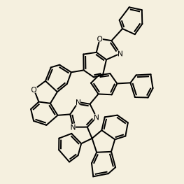 c1ccc(-c2cccc(-c3nc(-c4cccc5oc6ccc(-c7ccc8nc(-c9ccccc9)oc8c7)cc6c45)nc(C4(c5ccccc5)c5ccccc5-c5ccccc54)n3)c2)cc1